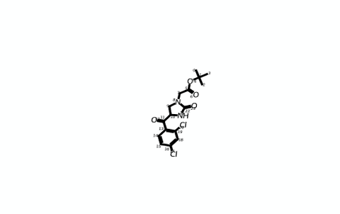 CC(C)(C)OC(=O)CN1CC(C(=O)c2ccc(Cl)cc2Cl)NC1=O